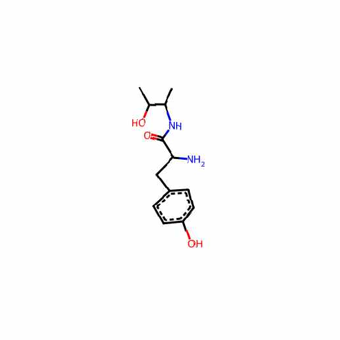 CC(O)C(C)NC(=O)C(N)Cc1ccc(O)cc1